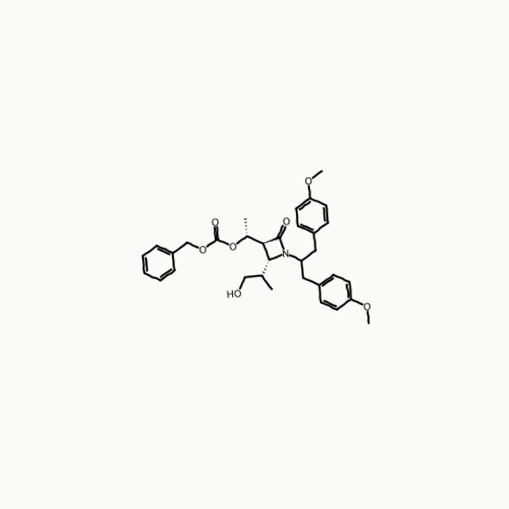 COc1ccc(CC(Cc2ccc(OC)cc2)N2C(=O)[C@H]([C@@H](C)OC(=O)OCc3ccccc3)[C@H]2C(C)CO)cc1